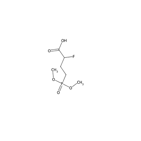 COP(=O)(CCC(F)C(=O)O)OC